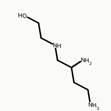 NCCC(N)CNCCO